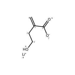 C=C(CCO)C(=O)[O-].[Li+]